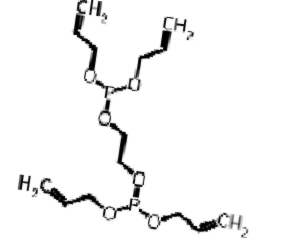 C=CCOP(OCC=C)OCCOP(OCC=C)OCC=C